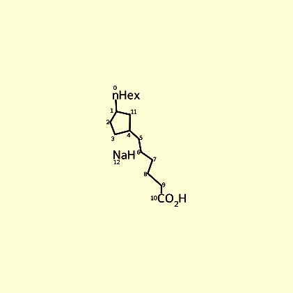 CCCCCCC1CCC(CCCCCC(=O)O)C1.[NaH]